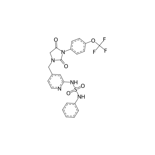 O=C1CN(Cc2ccnc(NS(=O)(=O)Nc3ccccc3)c2)C(=O)N1c1ccc(OC(F)(F)F)cc1